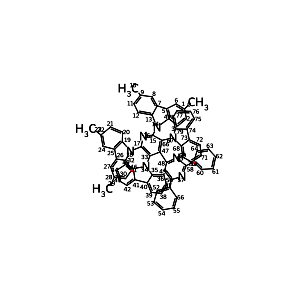 Cc1ccc2c(c1)c1cc(C)ccc1n2-c1nc(-n2c3ccc(C)cc3c3cc(C)ccc32)c(-n2c3ccccc3c3ccccc32)c(-c2cc(-c3ccccc3)nc(-c3ccccc3)n2)c1-n1c2ccccc2c2ccccc21